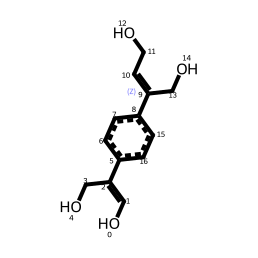 OC=C(CO)c1ccc(/C(=C/CO)CO)cc1